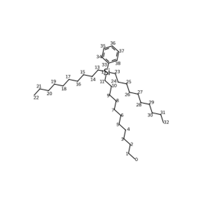 CCCCCCCCCCCC[Si](CCCCCCCCCC)(CCCCCCCCCC)c1ccccc1